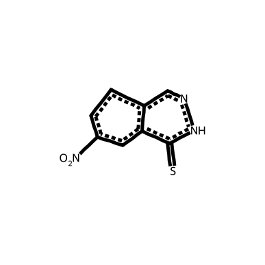 O=[N+]([O-])c1ccc2cn[nH]c(=S)c2c1